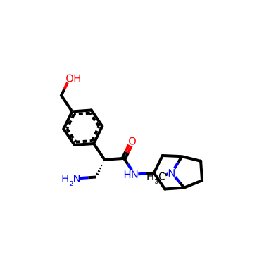 CN1C2CCC1CC(NC(=O)[C@H](CN)c1ccc(CO)cc1)C2